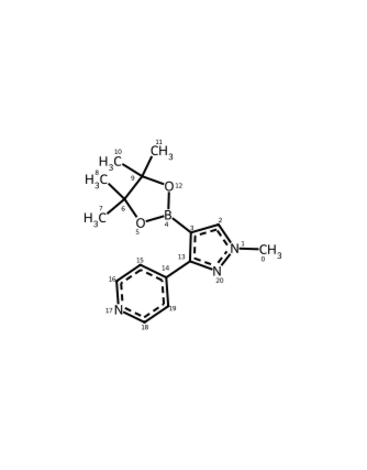 Cn1cc(B2OC(C)(C)C(C)(C)O2)c(-c2ccncc2)n1